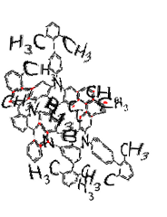 Cc1cccc(C)c1-c1ccc(N2c3ccc(-c4c(C)cccc4C)cc3B3c4cc5c(cc4N(c4ccccc4)c4cc(-c6c(C)cccc6C)cc2c43)N(c2c(-c3ccccc3)cccc2-c2ccccc2)c2cc(-c3c(C)cccc3C)cc3c2B5c2cc(-c4c(C)cccc4C)ccc2N3c2ccc(-c3c(C)cccc3C)cc2)cc1